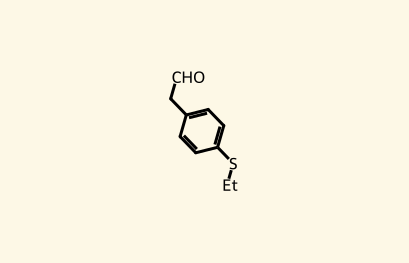 CCSc1ccc(CC=O)cc1